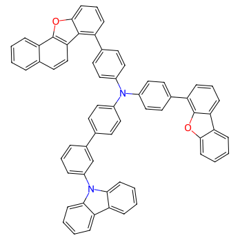 c1cc(-c2ccc(N(c3ccc(-c4cccc5c4oc4ccccc45)cc3)c3ccc(-c4cccc5oc6c7ccccc7ccc6c45)cc3)cc2)cc(-n2c3ccccc3c3ccccc32)c1